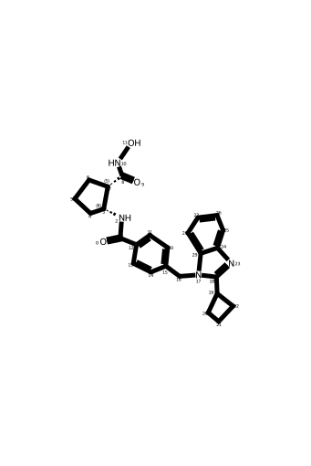 O=C(N[C@@H]1CCC[C@@H]1C(=O)NO)c1ccc(Cn2c(C3CCC3)nc3ccccc32)cc1